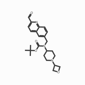 CC(C)(C)OC(=O)N(Cc1ccc2nc(C=O)ccc2c1)C1CCN(C2COC2)CC1